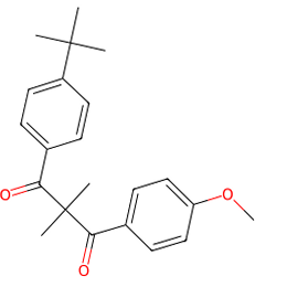 COc1ccc(C(=O)C(C)(C)C(=O)c2ccc(C(C)(C)C)cc2)cc1